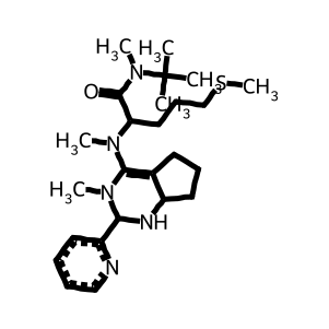 CSCCCC(C(=O)N(C)C(C)(C)C)N(C)C1=C2CCCC2NC(c2ccccn2)N1C